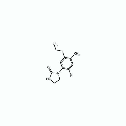 Cc1cc(F)c(N2CCNC2=O)cc1SCC(F)(F)F